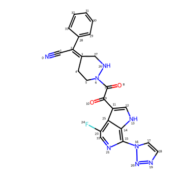 N#C/C(=C1\CCN(C(=O)C(=O)c2c[nH]c3c(-n4ccnn4)ncc(F)c23)NC1)c1ccccc1